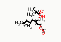 C=C(C)CCCC(C)CCOC=O.CC(C)C(=O)O